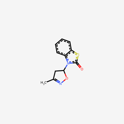 CC1=NOC(n2c(=O)sc3ccccc32)C1